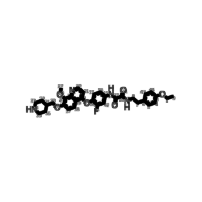 CCOc1ccc(CCNC(=O)C(=O)Nc2ccc(Oc3ccnc4c(OC)c(OCC5CCNCC5)ccc34)c(F)c2)cc1